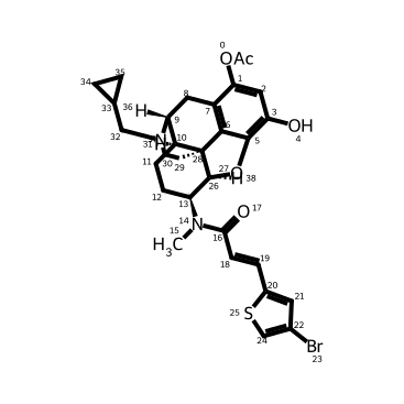 CC(=O)Oc1cc(O)c2c3c1C[C@@H]1[C@@H]4CC[C@H](N(C)C(=O)/C=C/c5cc(Br)cs5)[C@H](O2)[C@]34CCN1CC1CC1